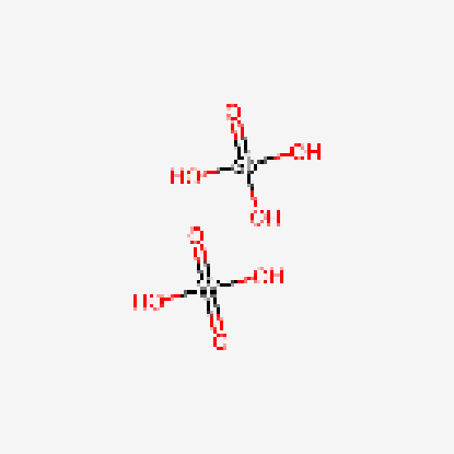 [O]=[Sb]([OH])([OH])[OH].[O]=[W](=[O])([OH])[OH]